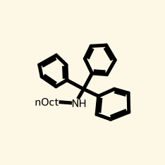 CCCCCCCCNC(c1ccccc1)(c1ccccc1)c1ccccc1